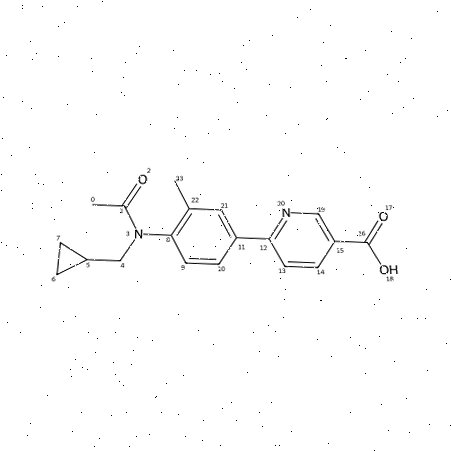 CC(=O)N(CC1CC1)c1ccc(-c2ccc(C(=O)O)cn2)cc1C